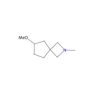 COC1CCC2(C1)CN(C)C2